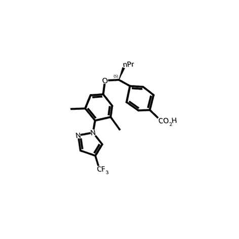 CCC[C@H](Oc1cc(C)c(-n2cc(C(F)(F)F)cn2)c(C)c1)c1ccc(C(=O)O)cc1